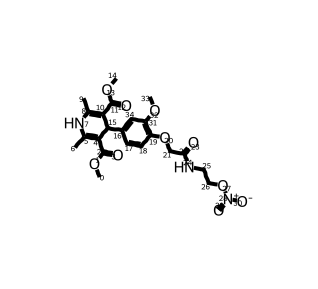 COC(=O)C1=C(C)NC(C)=C(C(=O)OC)C1c1ccc(OCC(=O)NCCO[N+](=O)[O-])c(OC)c1